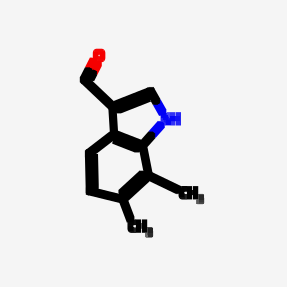 Cc1ccc2c(C=O)c[nH]c2c1C